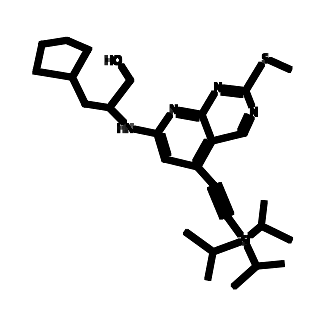 CSc1ncc2c(C#C[Si](C(C)C)(C(C)C)C(C)C)cc(NC(CO)CC3CCCC3)nc2n1